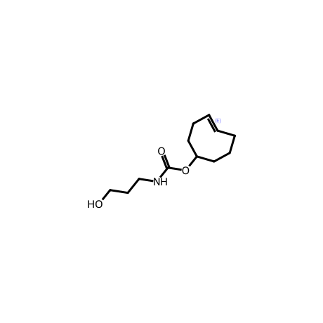 O=C(NCCCO)OC1CC/C=C/CCC1